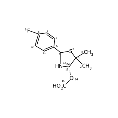 CC1(C)SC(c2ccc(F)cc2)N[C@H]1OC(=O)O